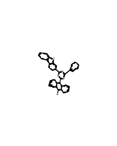 Brc1c2ccccc2c(-c2nc(-c3ccccc3)nc(-c3ccc4c(c3)oc3ccccc34)n2)c2ccccc12